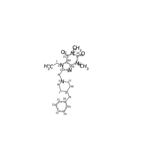 CCn1c(CN2CCC(Cc3ccccc3)CC2)nc2c1c(=O)n(C)c(=O)n2C